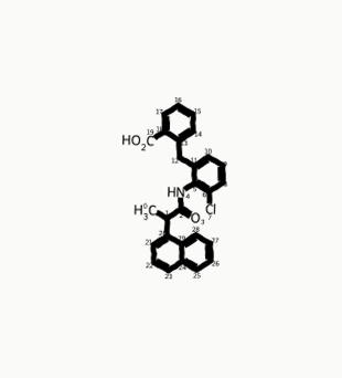 CC(C(=O)Nc1c(Cl)cccc1Cc1ccccc1C(=O)O)c1cccc2ccccc12